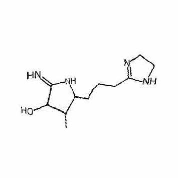 CC1C(CCCC2=NCCN2)NC(=N)C1O